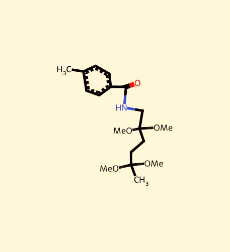 COC(C)(CCC(CNC(=O)c1ccc(C)cc1)(OC)OC)OC